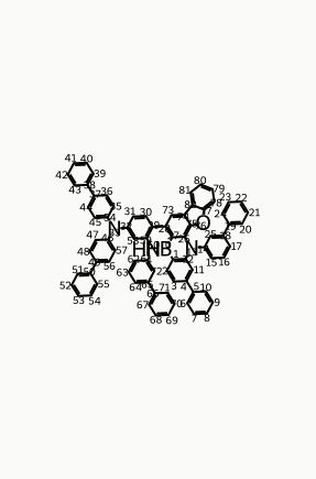 B1c2ccc(-c3ccccc3)cc2N(c2cccc(-c3ccccc3)c2)c2c1c(-c1ccc(N(c3ccc(-c4ccccc4)cc3)c3ccc(-c4ccccc4)cc3)cc1Nc1cccc(-c3ccccc3)c1)cc1c2oc2ccccc21